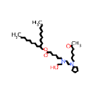 CCCCCCCCC(CCCCCCCC)COC(=O)CCCCCN(CCO)CCN(CCCCCC(C)=O)C1CCCC1